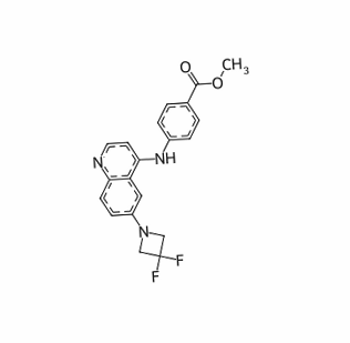 COC(=O)c1ccc(Nc2ccnc3ccc(N4CC(F)(F)C4)cc23)cc1